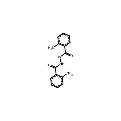 Nc1ccccc1C(=O)NNC(=O)c1ccccc1N